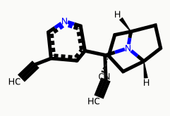 C#CCN1[C@@H]2CC[C@H]1C[C@](C#N)(c1cncc(C#C)c1)C2